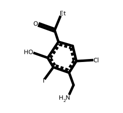 CCC(=O)c1cc(Cl)c(CN)c(I)c1O